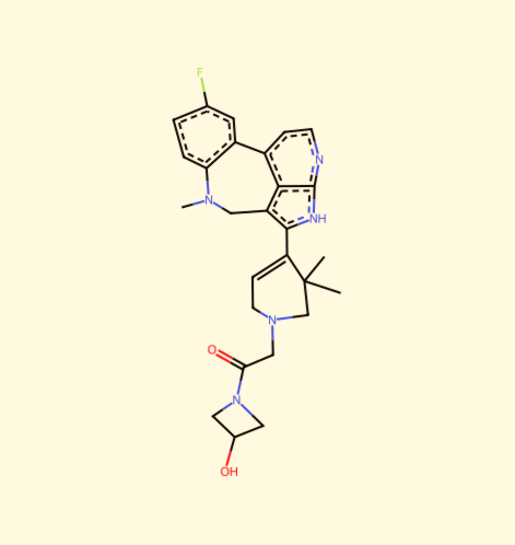 CN1Cc2c(C3=CCN(CC(=O)N4CC(O)C4)CC3(C)C)[nH]c3nccc(c23)-c2cc(F)ccc21